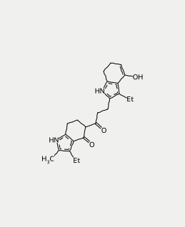 CCc1c(C)[nH]c2c1C(=O)C(C(=O)CCc1[nH]c3c(c1CC)C(O)=CCC3)CC2